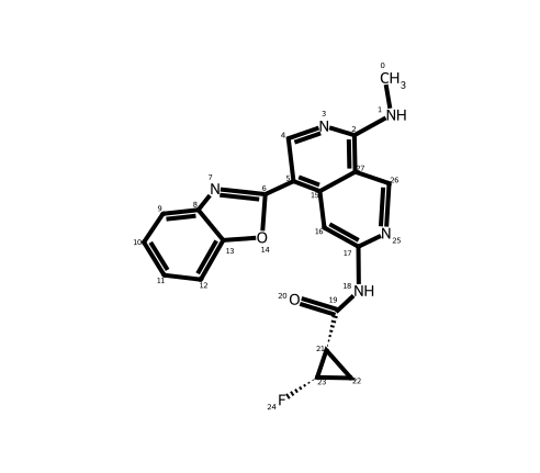 CNc1ncc(-c2nc3ccccc3o2)c2cc(NC(=O)[C@@H]3C[C@@H]3F)ncc12